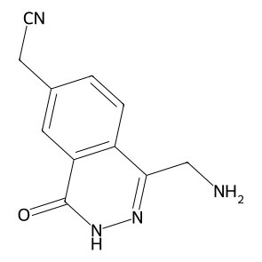 N#CCc1ccc2c(CN)n[nH]c(=O)c2c1